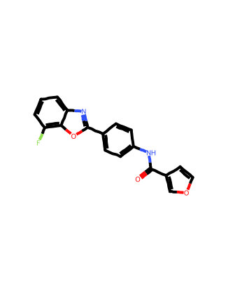 O=C(Nc1ccc(-c2nc3cccc(F)c3o2)cc1)c1ccoc1